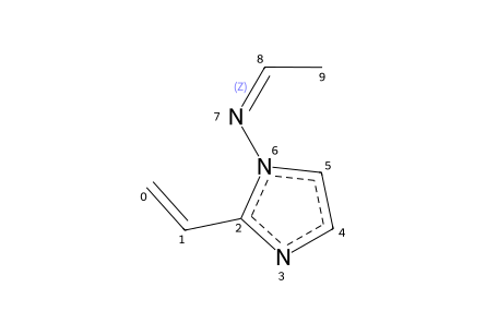 C=Cc1nccn1/N=C\C